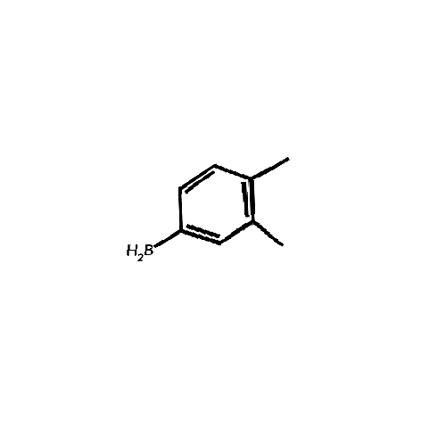 Bc1ccc(C)c(C)c1